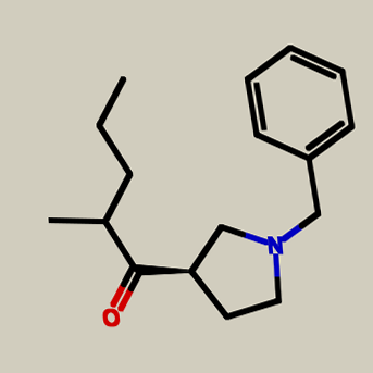 CCCC(C)C(=O)[C@@H]1CCN(Cc2ccccc2)C1